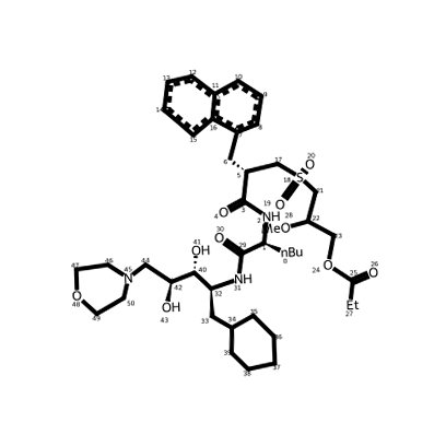 CCCC[C@H](NC(=O)[C@H](Cc1cccc2ccccc12)CS(=O)(=O)CC(COC(=O)CC)OC)C(=O)N[C@@H](CC1CCCCC1)[C@@H](O)[C@@H](O)CN1CCOCC1